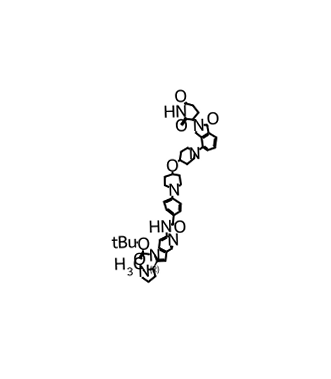 CN1CCC[C@@H]1c1cc2cnc(NC(=O)c3ccc(N4CCC(OC5CCN(c6cccc7c6CN(C6CCC(=O)NC6=O)C7=O)CC5)CC4)cc3)cc2n1C(=O)OC(C)(C)C